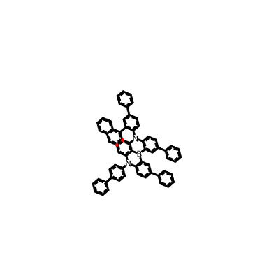 c1ccc(-c2ccc(N3c4ccc(-c5ccccc5)cc4B4c5cc(-c6ccccc6)ccc5N(c5ccc(-c6ccccc6)cc5-c5cccc6ccccc56)c5cccc3c54)cc2)cc1